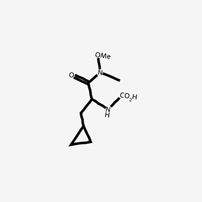 CON(C)C(=O)C(CC1CC1)NC(=O)O